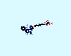 C[C@@H]1Cc2c([nH]c3ccccc23)[C@@H](c2ccc(OCCCCCCCOCC(=O)O)cn2)N1CC(F)F